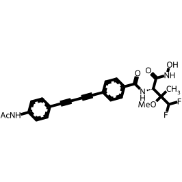 COC(C)(C(F)F)[C@H](NC(=O)c1ccc(C#CC#Cc2ccc(NC(C)=O)cc2)cc1)C(=O)NO